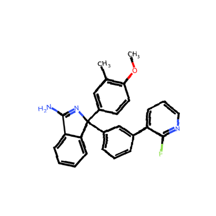 COc1ccc(C2(c3cccc(-c4cccnc4F)c3)N=C(N)c3ccccc32)cc1C